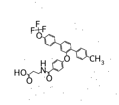 Cc1ccc(-c2ccc(-c3ccc(OC(F)(F)F)cc3)cc2Oc2ccc(C(=O)NCCC(=O)O)cc2)cc1